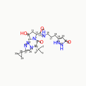 CC(C)(C)[C@@H](C(=O)N1CC(O)CC1C(=O)NCCCc1cc(=O)[nH][nH]1)n1cc(C2CC2)nn1